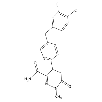 CN1N=C(C(N)=O)C(c2ccc(Cc3ccc(Cl)c(F)c3)cn2)CC1=O